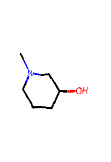 CN1[CH]C(O)CCC1